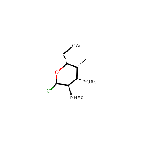 CC(=O)N[C@H]1C(Cl)O[C@H](COC(C)=O)[C@H](C)[C@@H]1OC(C)=O